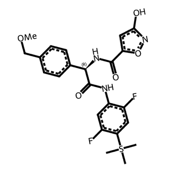 COCc1ccc([C@@H](NC(=O)c2cc(O)no2)C(=O)Nc2cc(F)c(S(C)(C)C)cc2F)cc1